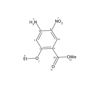 CCOc1cc(N)c([N+](=O)[O-])cc1C(=O)OC